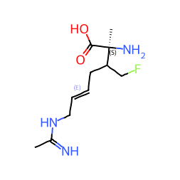 CC(=N)NC/C=C/CC(CF)[C@](C)(N)C(=O)O